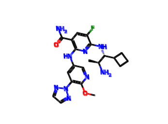 COc1ncc(Nc2nc(N[C@H](C3CCC3)[C@H](C)N)c(F)cc2C(N)=O)cc1-n1nccn1